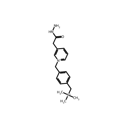 C[N+](C)(C)Cc1ccc(C[n+]2cccc(CC(=O)NN)c2)cc1